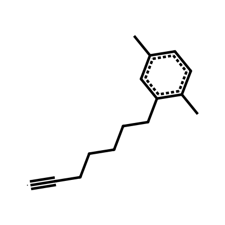 [C]#CCCCCCc1cc(C)ccc1C